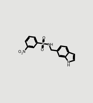 O=[N+]([O-])c1cccc(S(=O)(=O)NCc2ccc3cc[nH]c3c2)c1